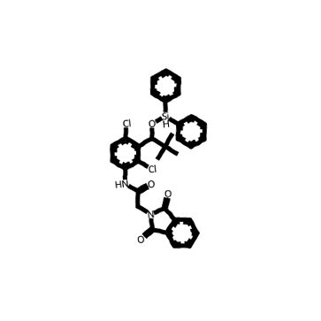 CC(C)(C)C(O[SiH](c1ccccc1)c1ccccc1)c1c(Cl)ccc(NC(=O)CN2C(=O)c3ccccc3C2=O)c1Cl